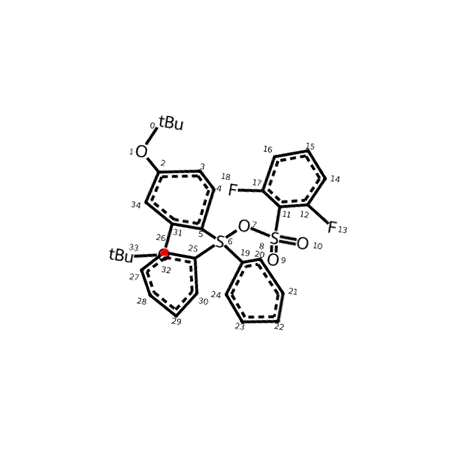 CC(C)(C)Oc1ccc(S(OS(=O)(=O)c2c(F)cccc2F)(c2ccccc2)c2ccccc2)c(OC(C)(C)C)c1